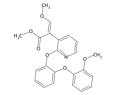 CO/C=C(\C(=O)OC)c1cccnc1Oc1ccccc1Oc1ccccc1OC